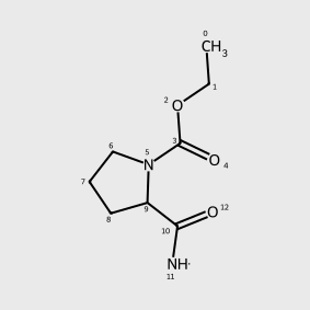 CCOC(=O)N1CCCC1C([NH])=O